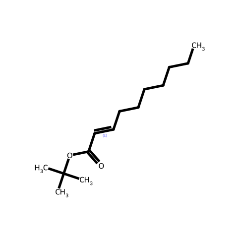 CCCCCCC/C=C/C(=O)OC(C)(C)C